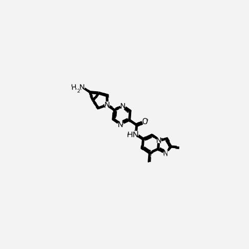 Cc1cn2cc(NC(=O)c3cnc(N4CC5C(N)C5C4)cn3)cc(C)c2n1